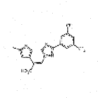 Cn1cc(C(=Cn2cnc(-c3cc(C(F)(F)F)cc(C(F)(F)F)c3)n2)C(=O)O)cn1